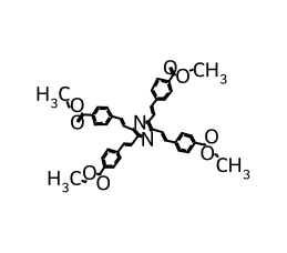 CCOC(=O)c1ccc(C=Cc2nc(C=Cc3ccc(C(=O)OCC)cc3)c(C=Cc3ccc(C(=O)OCC)cc3)nc2C=Cc2ccc(C(=O)OCC)cc2)cc1